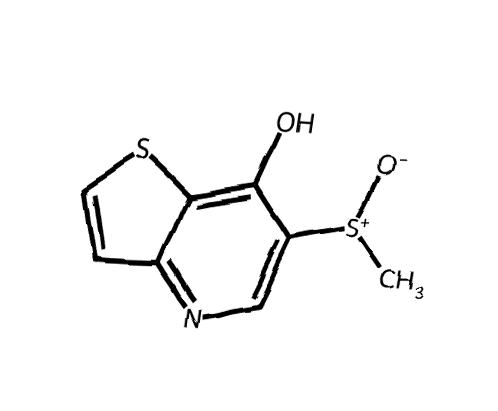 C[S+]([O-])c1cnc2ccsc2c1O